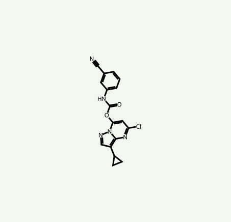 N#Cc1cccc(NC(=O)Oc2cc(Cl)nc3c(C4CC4)cnn23)c1